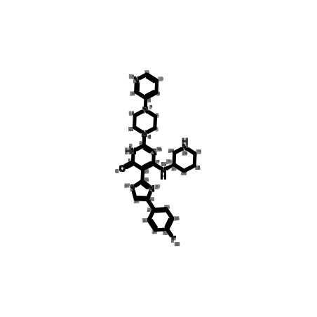 O=c1[nH]c(N2CCN(c3cccnc3)CC2)nc(N[C@@H]2CCCNC2)c1-c1nc(-c2ccc(F)cc2)cs1